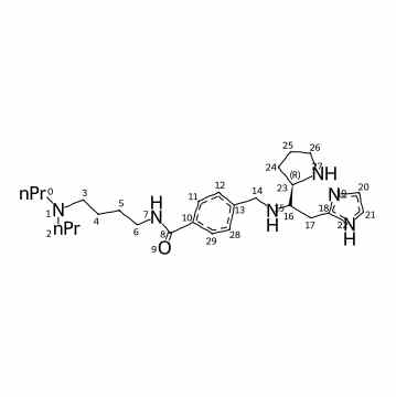 CCCN(CCC)CCCCNC(=O)c1ccc(CNC(Cc2ncc[nH]2)[C@H]2CCCN2)cc1